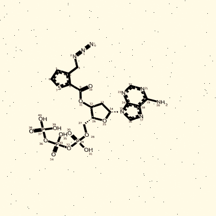 [N-]=[N+]=NCc1ccsc1C(=O)OC1C[C@H](n2cnc3c(N)ncnc32)O[C@@H]1COP(=O)(O)OP(=O)(O)OP(=O)(O)O